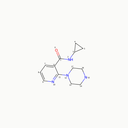 O=C(NC1CC1)c1cccnc1N1CC[N]CC1